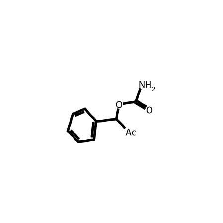 CC(=O)C(OC(N)=O)c1ccccc1